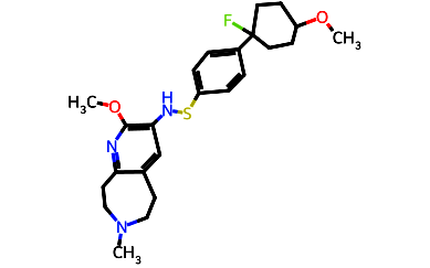 COc1nc2c(cc1NSc1ccc(C3(F)CCC(OC)CC3)cc1)CCN(C)CC2